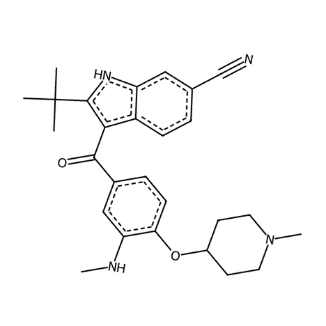 CNc1cc(C(=O)c2c(C(C)(C)C)[nH]c3cc(C#N)ccc23)ccc1OC1CCN(C)CC1